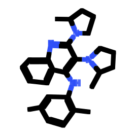 Cc1ccc(C)c(Nc2c(N3CCCC3C)c(N3CCCC3C)nc3ccccc23)c1